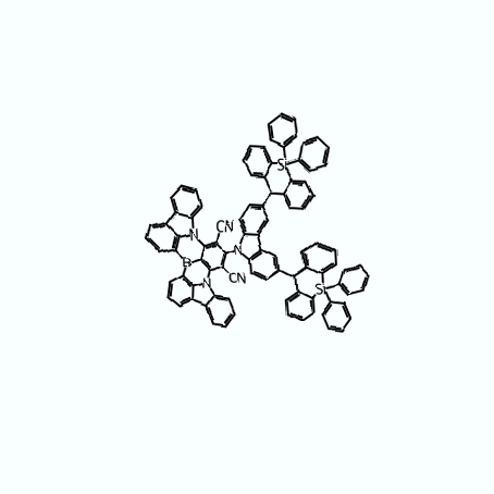 N#Cc1c(-n2c3ccc(C4c5ccccc5[Si](c5ccccc5)(c5ccccc5)c5ccccc54)cc3c3cc(C4c5ccccc5[Si](c5ccccc5)(c5ccccc5)c5ccccc54)ccc32)c(C#N)c2c3c1-n1c4ccccc4c4cccc(c41)B3c1cccc3c4ccccc4n-2c13